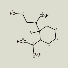 CC1(N(CCO)C(=O)O)CCCCC1N(C(=O)O)C(=O)O